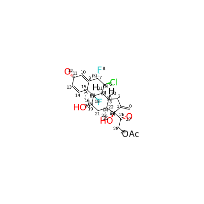 C=C1C[C@H]2[C@@H]3[C@H](Cl)[C@@H](F)C4=CC(=O)C=C[C@]4(C)[C@@]3(F)[C@@H](O)C[C@]2(C)[C@@]1(O)C(=O)COC(C)=O